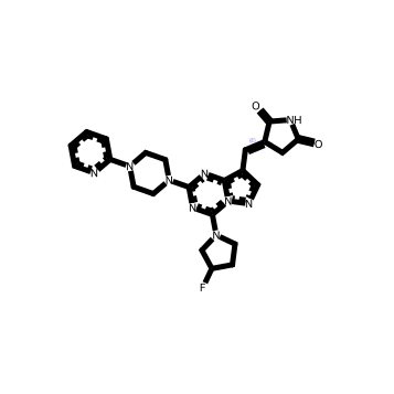 O=C1C/C(=C\c2cnn3c(N4CCC(F)C4)nc(N4CCN(c5ccccn5)CC4)nc23)C(=O)N1